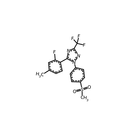 Cc1ccc(-c2nc(C(F)(F)F)nn2-c2ccc(S(C)(=O)=O)cc2)c(F)c1